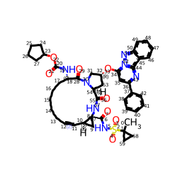 CC1(S(=O)(=O)NC(=O)[C@@]23C[C@H]2/C=C\CCCCC[C@H](NC(=O)OC2CCCC2)C(=O)N2C[C@H](Oc4cc(-c5ccccc5)nc5c6ccccc6nn45)C[C@H]2C(=O)N3)CC1